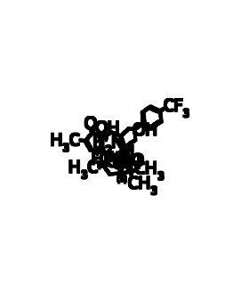 CC1=C[C@H]2[C@@]3(O)[C@H](C)C[C@]4(OC(=O)[C@@H](N)CCc5ccc(C(F)(F)F)cc5)[C@H]([C@@H]3C=C(CO)C[C@]2(O)C1=O)C4(C)C